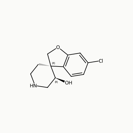 O[C@H]1CNCC[C@@]12COc1cc(Cl)ccc12